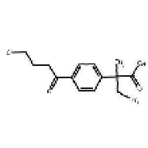 CCC(C)(C(=O)O)c1ccc(C(=O)CCCCl)cc1